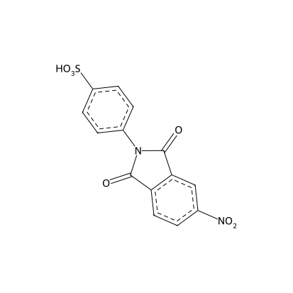 O=C1c2ccc([N+](=O)[O-])cc2C(=O)N1c1ccc(S(=O)(=O)O)cc1